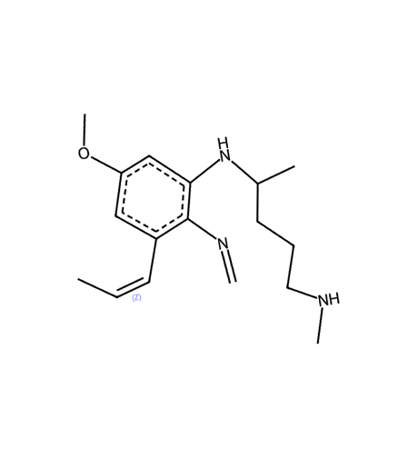 C=Nc1c(/C=C\C)cc(OC)cc1NC(C)CCCNC